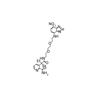 CCC(CC)(C(=O)NCCOCCOCCNc1ccc([N+](=O)[O-])c2n[se]nc12)c1cccnc1C(N)=O